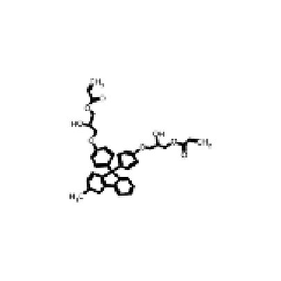 C=CC(=O)OCC(O)COc1ccc(C2(c3ccc(OCC(O)COC(=O)C=C)cc3)C3=C(CC(C)C=C3)c3ccccc32)cc1